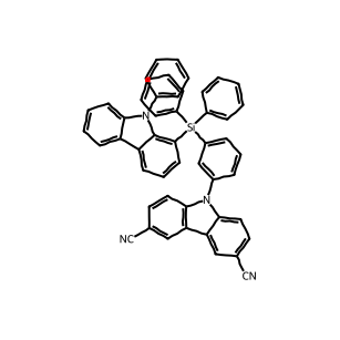 N#Cc1ccc2c(c1)c1cc(C#N)ccc1n2-c1cccc([Si](c2ccccc2)(c2ccccc2)c2cccc3c4ccccc4n(-c4ccccc4)c23)c1